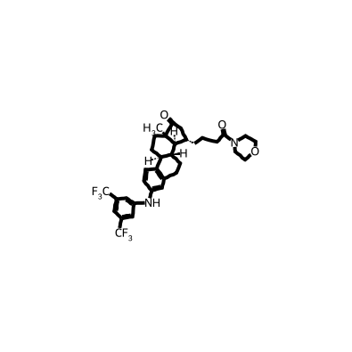 C[C@]12CC[C@@H]3c4ccc(Nc5cc(C(F)(F)F)cc(C(F)(F)F)c5)cc4CC[C@H]3[C@@H]1[C@@H](CCCC(=O)N1CCOCC1)CC2=O